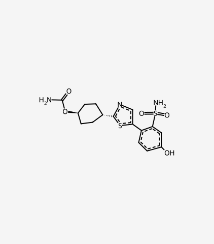 NC(=O)O[C@H]1CC[C@H](c2ncc(-c3ccc(O)cc3S(N)(=O)=O)s2)CC1